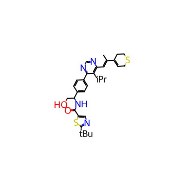 C/C(=C\c1ncnc(-c2ccc(C(CO)NC(=O)c3cnc(C(C)(C)C)s3)cc2)c1C(C)C)C1=CCSCC1